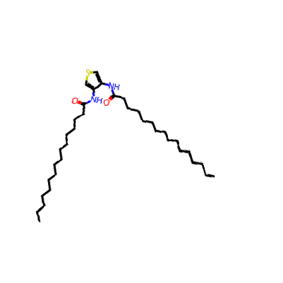 CCCCCCCCCCCCCCCC(=O)Nc1cscc1NC(=O)CCCCCCCCCCCCCCC